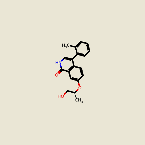 Cc1ccccc1-c1c[nH]c(=O)c2cc(O[C@H](C)CO)ccc12